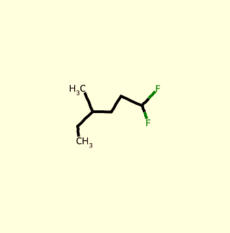 CCC(C)CC[C](F)F